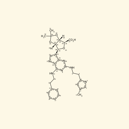 Cn1cnc(CCNc2nc(NCCc3ccccc3)c3ncn([C@@H]4O[C@H](C(=O)O)[C@H]5OC(C)(C)O[C@H]54)c3n2)c1